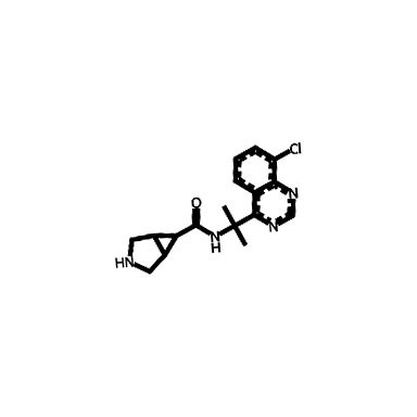 CC(C)(NC(=O)C1C2CNCC21)c1ncnc2c(Cl)cccc12